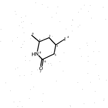 CC1CC(I)CC(=O)N1